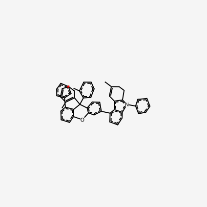 CC1=Cc2c(n(-c3ccccc3)c3cccc(-c4ccc5c(c4)Oc4cccc(-c6ccccc6)c4C5(C4=C(C)C=CCC4)c4ccccc4C)c23)CC1